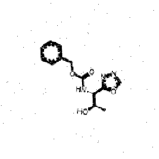 C[C@@H](O)[C@H](NC(=O)OCc1ccccc1)c1nnco1